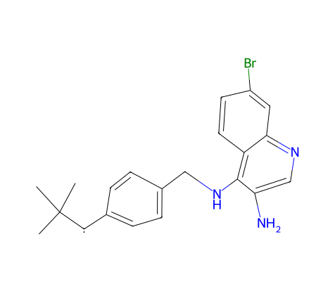 CC(C)(C)[CH]c1ccc(CNc2c(N)cnc3cc(Br)ccc23)cc1